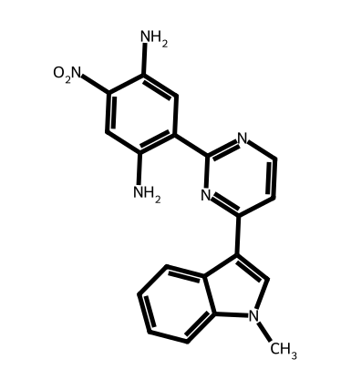 Cn1cc(-c2ccnc(-c3cc(N)c([N+](=O)[O-])cc3N)n2)c2ccccc21